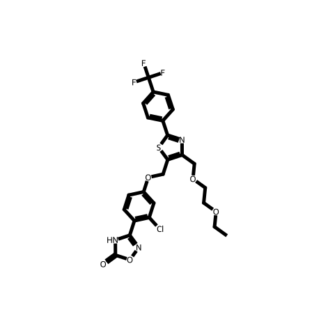 CCOCCOCc1nc(-c2ccc(C(F)(F)F)cc2)sc1COc1ccc(-c2noc(=O)[nH]2)c(Cl)c1